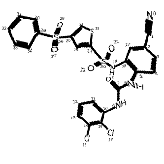 N#Cc1ccc(NC(=O)Nc2cccc(Cl)c2Cl)c(NS(=O)(=O)c2cc(S(=O)(=O)c3ccccc3)cs2)c1